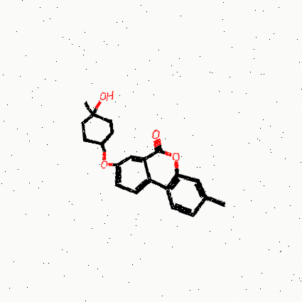 Cc1ccc2c(c1)oc(=O)c1cc(OC3CCC(C)(O)CC3)ccc12